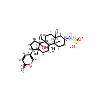 C[C@]12CC[C@H](N[SH](=O)=O)C[C@H]1CC[C@@H]1[C@@H]2CC[C@]2(C)[C@@H](c3ccc(=O)oc3)CC[C@]12O